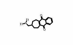 CCN(CC)CC1CCC2=C(CC1)C(=O)c1ccccc1C2=O